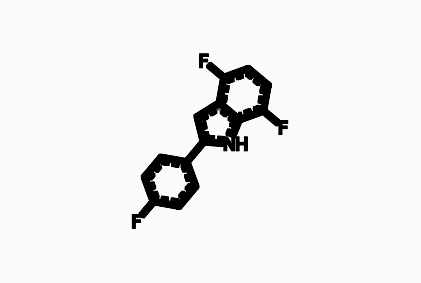 Fc1ccc(-c2cc3c(F)ccc(F)c3[nH]2)cc1